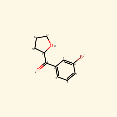 O=C(c1cccc(Br)c1)C1CCCO1